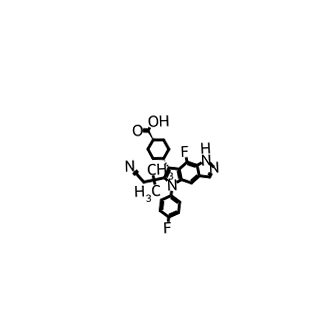 CC(C)(CC#N)c1c([C@H]2CC[C@H](C(=O)O)CC2)c2c(F)c3[nH]ncc3cc2n1-c1ccc(F)cc1